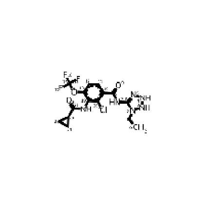 CCN1NNN=C1NC(=O)c1ccc(OC(F)(F)F)c(NC(=O)C2CC2)c1Cl